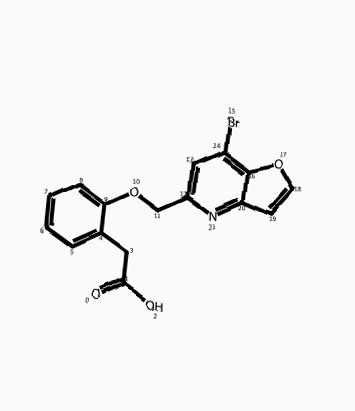 O=C(O)Cc1ccccc1OCc1cc(Br)c2occc2n1